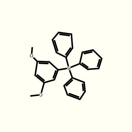 COc1cc(OC)cc([Si](c2ccccc2)(c2ccccc2)c2ccccc2)c1